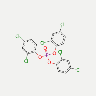 O=P(Oc1ccc(Cl)cc1Cl)(Oc1ccc(Cl)cc1Cl)Oc1ccc(Cl)cc1Cl